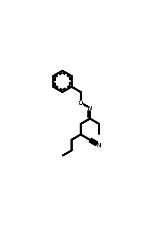 CCCC(C#N)CC(CC)=NOCc1ccccc1